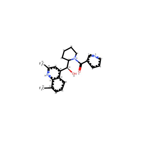 O=C(c1cccnc1)N1CCCCC1[C@@H](O)c1cc(C(F)(F)F)nc2c(C(F)(F)F)cccc12